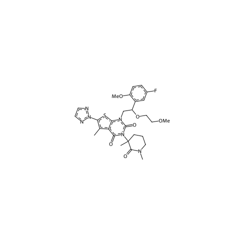 COCCOC(Cn1c(=O)n(C2(C)CCCN(C)C2=O)c(=O)c2c(C)c(-n3nccn3)sc21)c1cc(F)ccc1OC